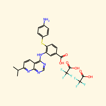 CC(C)c1ccc2c(Nc3cc(C(=O)O)ccc3Sc3ccc(N)cc3)ncnc2n1.O=C(O)C(F)(F)F.O=C(O)C(F)(F)F